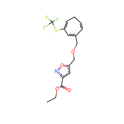 CCOC(=O)c1cc(COCC2=CC(SC(F)(F)F)=CCC=C2)on1